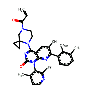 C=CC(=O)N1CCN(c2nc(=O)n(-c3c(C)ccnc3C(C)C)c3nc(-c4cccc(C)c4OC)c(C#N)cc23)C2(CC2)C1